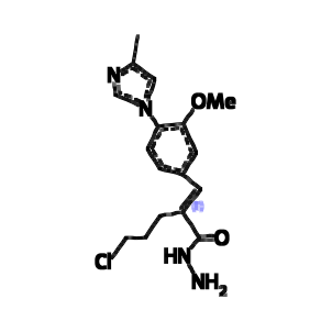 COc1cc(/C=C(\CCCCl)C(=O)NN)ccc1-n1cnc(C)c1